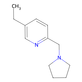 CCc1ccc(CN2CCCC2)nc1